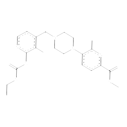 CCNC(=O)Nc1nccc(CN2CCN(c3ccc(C(=O)NC)nc3F)CC2)c1Cl